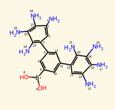 Nc1cc(-c2cc(B(O)O)cc(-c3cc(N)c(N)c(N)c3N)c2)c(N)c(N)c1N